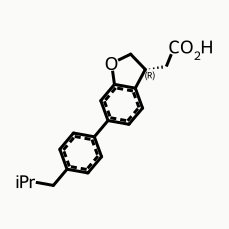 CC(C)Cc1ccc(-c2ccc3c(c2)OC[C@@H]3CC(=O)O)cc1